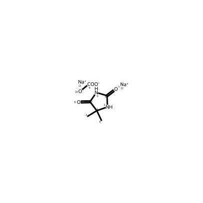 CC1(C)NC(=O)NC1=O.O=C([O-])[O-].[Na+].[Na+]